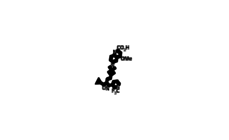 COc1cc(C(=O)O)nc2ccc(N3CC4(CC(C=Cc5c(-c6cccnc6C(F)(F)F)noc5C5CC5)C4)C3)cc12